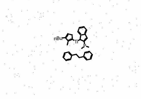 CCCCC1=CC[C]([Ti][CH]2C(P(C)C)=Cc3ccccc32)=C1C.c1ccc(CCc2ccccc2)cc1